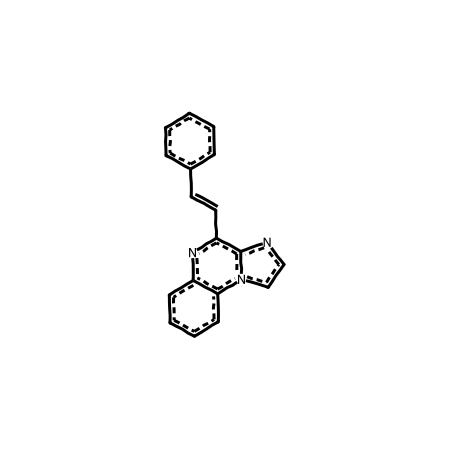 C(=Cc1nc2ccccc2n2ccnc12)c1ccccc1